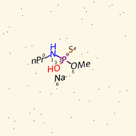 CCCNP(O)(=S)OC.[Na]